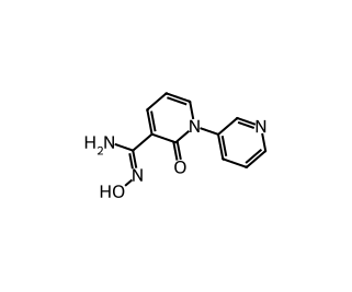 NC(=NO)c1cccn(-c2cccnc2)c1=O